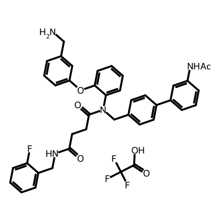 CC(=O)Nc1cccc(-c2ccc(CN(C(=O)CCC(=O)NCc3ccccc3F)c3ccccc3Oc3cccc(CN)c3)cc2)c1.O=C(O)C(F)(F)F